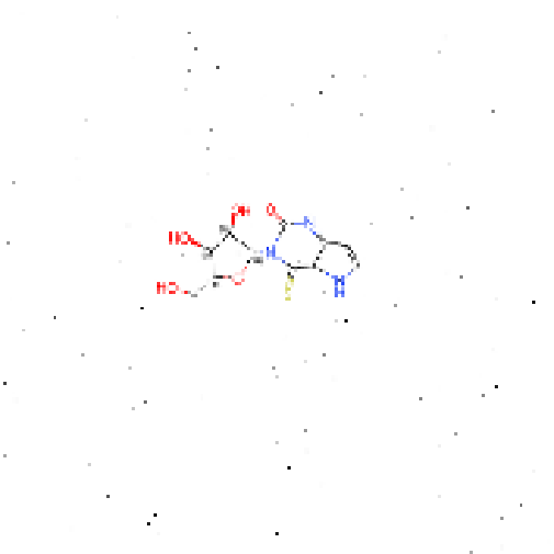 O=C1N=C2C=CNC2C(=S)N1[C@@H]1O[C@H](CO)[C@@H](O)[C@H]1O